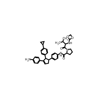 CC(C)C(NC1OCO1)C(=O)N1CCCC1C(=O)Nc1ccc(C2CC=C(c3ccc(N)cc3)C2c2ccc(C3CC3)cc2)cc1